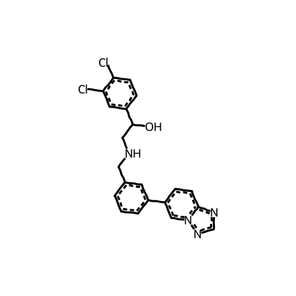 OC(CNCc1cccc(-c2ccc3ncnn3c2)c1)c1ccc(Cl)c(Cl)c1